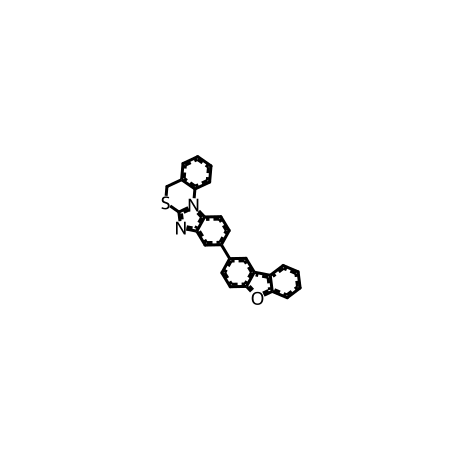 c1ccc2c(c1)CSc1nc3cc(-c4ccc5oc6ccccc6c5c4)ccc3n1-2